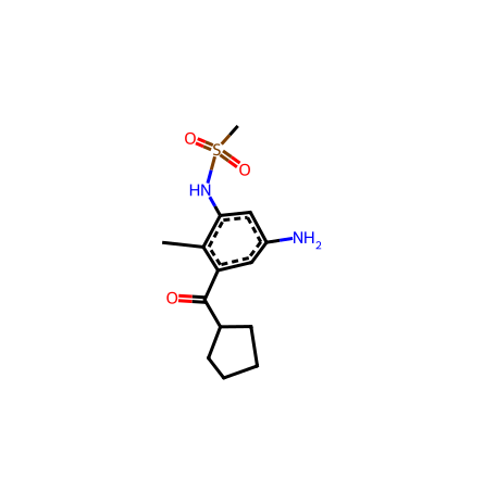 Cc1c(NS(C)(=O)=O)cc(N)cc1C(=O)C1CCCC1